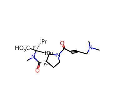 CC(C)[C@@](C(=O)O)(N(C)C(=O)[C@H]1CCN(C(=O)C#CCN(C)C)C1)C(C)(C)C